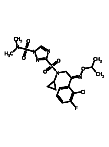 CC(C)O/N=C(\CN(C1CC1)S(=O)(=O)c1ncn(S(=O)(=O)N(C)C)n1)c1cccc(F)c1Cl